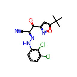 CC(C)(C)c1cc(C(=O)/C(C#N)=N/Nc2cccc(Cl)c2Cl)no1